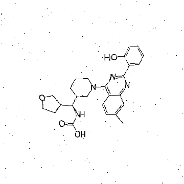 Cc1ccc2c(N3CCCC([C@@H](NC(=O)O)C4CCOC4)C3)nc(-c3ccccc3O)nc2c1